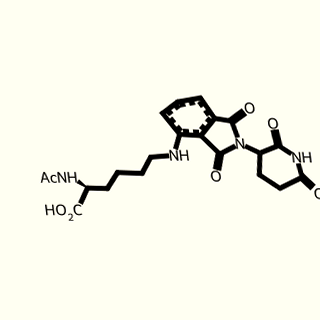 CC(=O)N[C@@H](CCCCNc1cccc2c1C(=O)N(C1CCC(=O)NC1=O)C2=O)C(=O)O